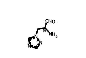 N[C@H]([C]=O)Cn1cncn1